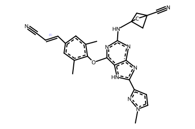 Cc1cc(/C=C/C#N)cc(C)c1Oc1nc(NC23CC(C#N)(C2)C3)nc2nc(-c3ccn(C)n3)[nH]c12